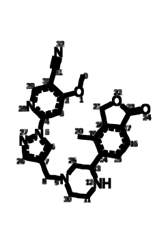 COc1cc(-n2cc(CN3CCNC(c4ccc5c(c4C)COC5=O)C3)cn2)ncc1C#N